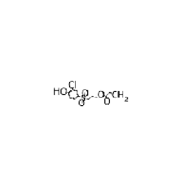 C=CC(=O)OCCCS(=O)(=O)c1ccc(O)c(Cl)c1